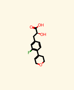 O=C(O)[C@@H](O)Cc1ccc(C2=CCOCC2)c(F)c1